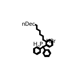 Br.CCCCCCCCCCCCCCCCc1ccccc1C(P)(c1ccccc1)c1ccccc1